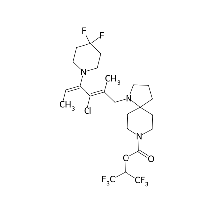 C/C=C(\C(Cl)=C(/C)CN1CCCC12CCN(C(=O)OC(C(F)(F)F)C(F)(F)F)CC2)N1CCC(F)(F)CC1